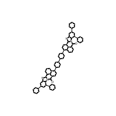 O=c1c2ccc(-c3ccc(-c4ccc(-c5ccc6c7c5cccc7c(=O)n5c6nc6cc(-c7ccccc7)cc(-c7ccccc7)c65)cc4)cc3)c3cccc(c32)c2nc3cc(-c4ccccc4)cc(-c4ccccc4)c3n12